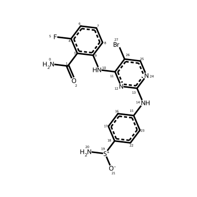 NC(=O)c1c(F)cccc1Nc1nc(Nc2ccc([S+](N)[O-])cc2)ncc1Br